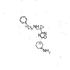 N[C@@H]1CCC[C@H](c2nc(C3(CN[C@@H]4C[C@H]4c4ccccc4)CC3)no2)C1